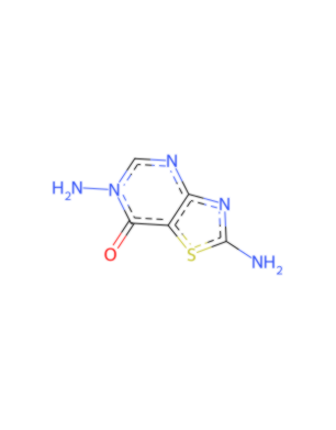 Nc1nc2ncn(N)c(=O)c2s1